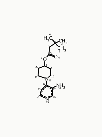 CC(C)(C)CC(=O)OC1CCN(c2ccncc2N)CC1